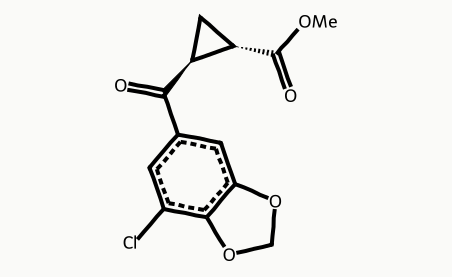 COC(=O)[C@H]1C[C@@H]1C(=O)c1cc(Cl)c2c(c1)OCO2